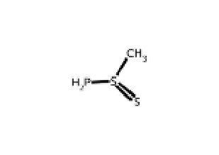 CS(P)=S